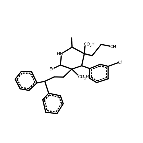 CCC1NC(C)C(CCC#N)(C(=O)O)C(c2cccc(Cl)c2)C1(CCC(c1ccccc1)c1ccccc1)C(=O)O